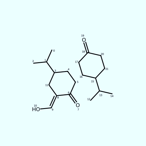 CC(C)C1CCC(=O)C(=CO)C1.CC(C)C1CCC(=O)CC1